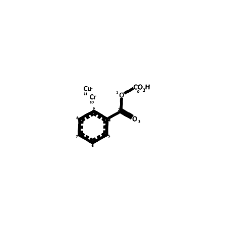 O=C(O)OC(=O)c1ccccc1.[Cr].[Cu]